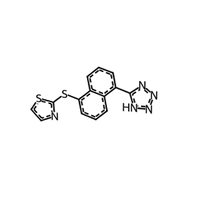 c1cc(-c2nnn[nH]2)c2cccc(Sc3nccs3)c2c1